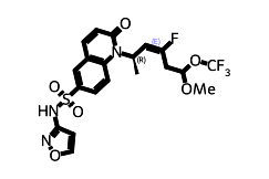 COC(C/C(F)=C\[C@@H](C)n1c(=O)ccc2cc(S(=O)(=O)Nc3ccon3)ccc21)OC(F)(F)F